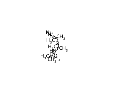 CC(C)(CN=[N+]=[N-])COCC(C)(C)CNC(=O)OC(C)(C)C